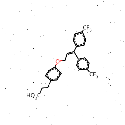 O=C(O)CCc1ccc(OCC=C(c2ccc(C(F)(F)F)cc2)c2ccc(C(F)(F)F)cc2)cc1